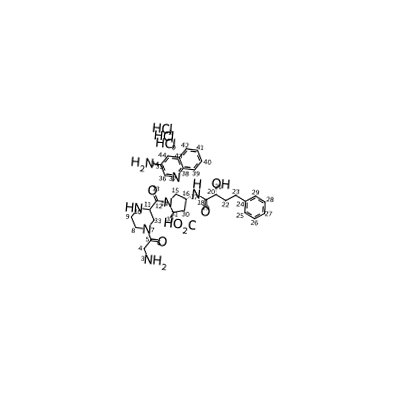 Cl.Cl.Cl.NCC(=O)N1CCNC(C(=O)N2C[C@H](NC(=O)[C@H](O)CCc3ccccc3)C[C@H]2C(=O)O)C1.Nc1cnc2ccccc2c1